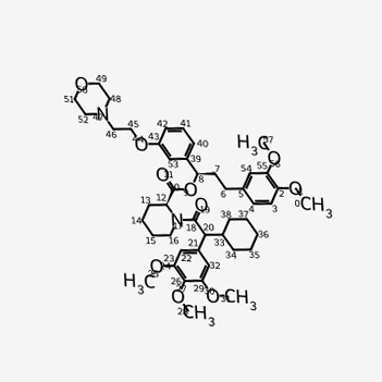 COc1ccc(CC[C@@H](OC(=O)[C@@H]2CCCCN2C(=O)C(c2cc(OC)c(OC)c(OC)c2)C2CCCCC2)c2cccc(OCCN3CCOCC3)c2)cc1OC